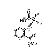 COC(=O)c1ccccc1O.O=C(O)C(F)(F)F